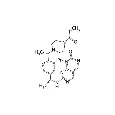 C=CC(=O)N1CCN(C(C)c2ccc([C@H](C)Nc3ncc4cnc(=O)n(C(C)C)c4n3)cc2)CC1